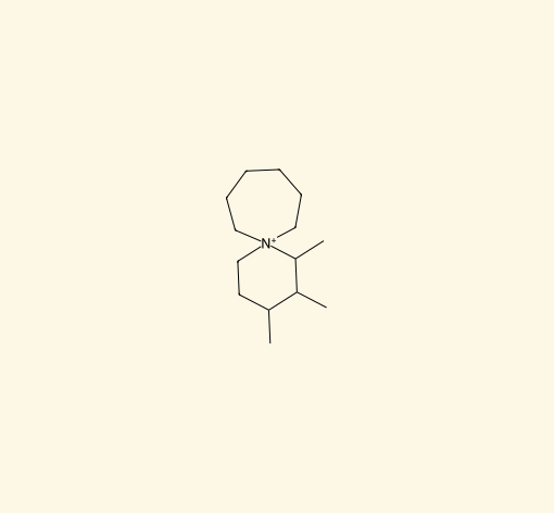 CC1CC[N+]2(CCCCCC2)C(C)C1C